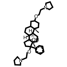 C[C@]12CCC(OCCN3CCCC3)CC1CC[C@@H]1[C@H]2CC[C@]2(C)C(OCCN3CCCC3)(c3ccccc3)CC[C@@]12O